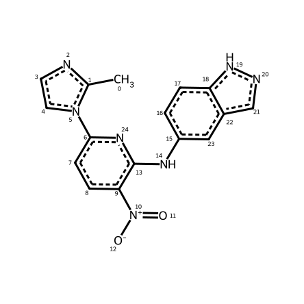 Cc1nccn1-c1ccc([N+](=O)[O-])c(Nc2ccc3[nH]ncc3c2)n1